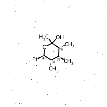 CC[C@H]1OC(C)(O)[C@H](C)[C@@H](C)[C@@H]1C